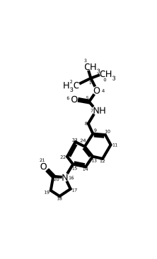 CC(C)(C)OC(=O)NCC1=CCCc2cc(N3CCCC3=O)ccc21